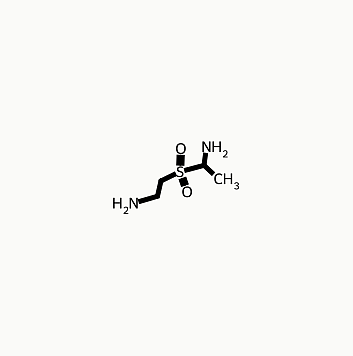 CC(N)S(=O)(=O)CCN